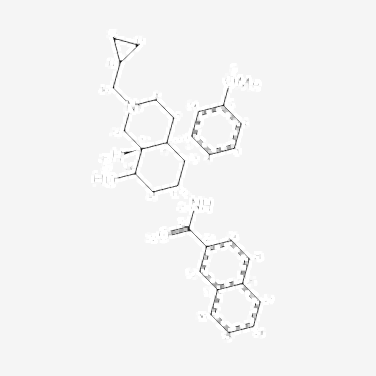 COc1cccc([C@@]23CCN(CC4CC4)C[C@H]2C(O)C[C@@H](NC(=O)c2ccc4ccccc4c2)C3)c1